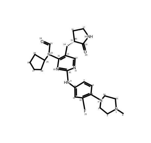 CN1CCN(c2ccc(Nc3ncc(C[C@@H]4CCNC4=O)c(N(C=O)C4CCCC4)n3)cc2F)CC1